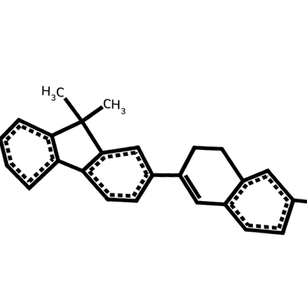 CC1(C)c2ccccc2-c2ccc(C3=Cc4ccc(I)cc4CC3)cc21